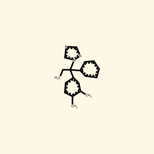 CCC(c1ccccc1)(c1ccc(C)c(C)c1)n1cncn1